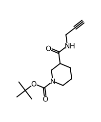 C#CCNC(=O)C1CCCN(C(=O)OC(C)(C)C)C1